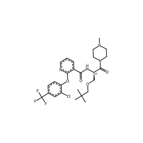 CN1CCN(C(=O)[C@@H](COCC(C)(C)C)NC(=O)c2cccnc2Oc2ccc(C(F)(F)F)cc2Cl)CC1